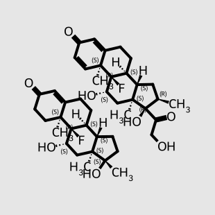 C[C@@H]1C[C@H]2[C@@H]3CCC4=CC(=O)C=C[C@]4(C)[C@@]3(F)[C@@H](O)C[C@]2(C)[C@@]1(O)C(=O)CO.C[C@]1(O)CC[C@H]2[C@@H]3CCC4=CC(=O)CC[C@]4(C)[C@@]3(F)[C@@H](O)C[C@@]21C